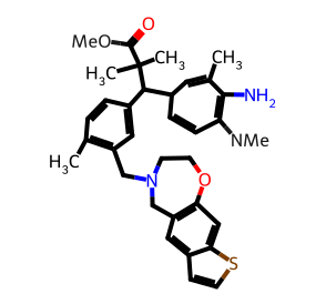 CNC1=C(N)C(C)=CC(C(c2ccc(C)c(CN3CCOc4cc5sccc5cc4C3)c2)C(C)(C)C(=O)OC)C=C1